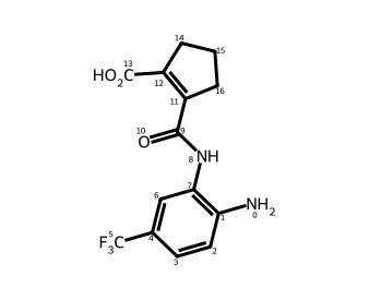 Nc1ccc(C(F)(F)F)cc1NC(=O)C1=C(C(=O)O)CCC1